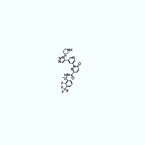 C[C@@H](NC(=O)c1ccc(=O)n(-c2cncc(-c3cnnn3[C@@H]3CCNC3)c2)n1)c1cccc(C(F)(F)F)c1F